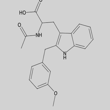 COc1cccc(Cc2[nH]c3ccccc3c2CC(NC(C)=O)C(=O)O)c1